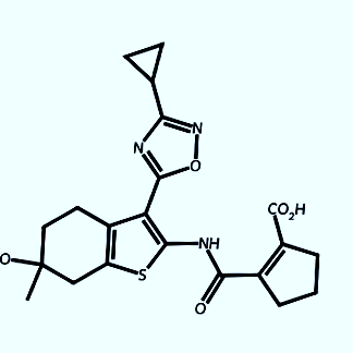 CC1(O)CCc2c(sc(NC(=O)C3=C(C(=O)O)CCC3)c2-c2nc(C3CC3)no2)C1